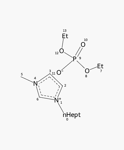 CCCCCCC[n+]1ccn(C)c1.CCOP(=O)([O-])OCC